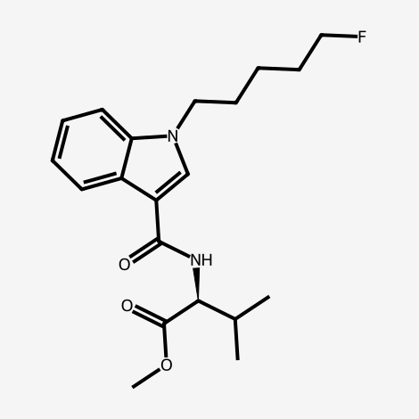 COC(=O)[C@@H](NC(=O)c1cn(CCCCCF)c2ccccc12)C(C)C